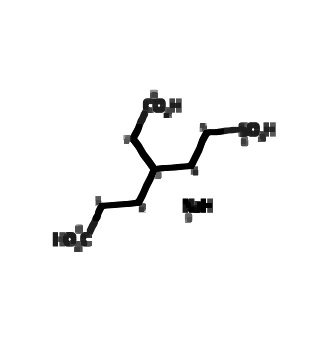 O=C(O)CCC(CCS(=O)(=O)O)CC(=O)O.[NaH]